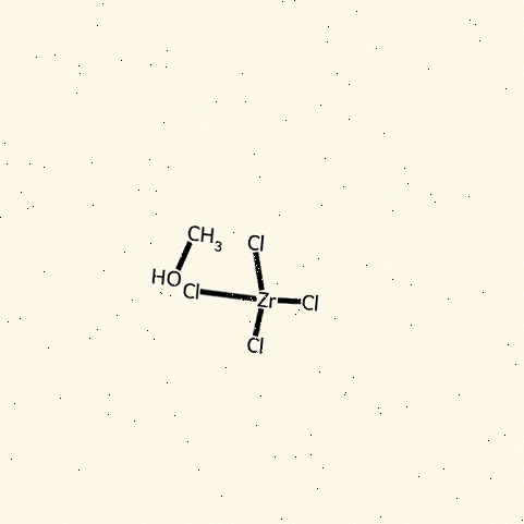 CO.[Cl][Zr]([Cl])([Cl])[Cl]